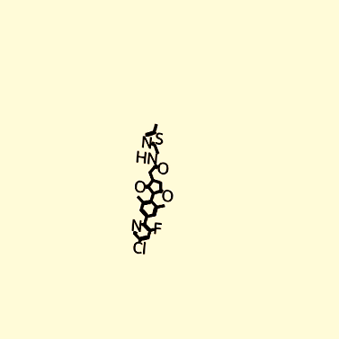 Cc1cnc(CNC(=O)CC2CC(=O)C(c3c(C)cc(-c4ncc(Cl)cc4F)cc3C)C2=O)s1